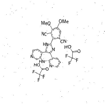 COc1cc(C#N)c(-c2nc3c([nH]2)-c2ccncc2Nc2ncccc2-3)c(C#N)c1OC.O=C(O)C(F)(F)F.O=C(O)C(F)(F)F